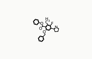 Cc1c(F)c(C2=NCCC2)cc(OCc2ccccc2)c1C(=O)Oc1ccccc1